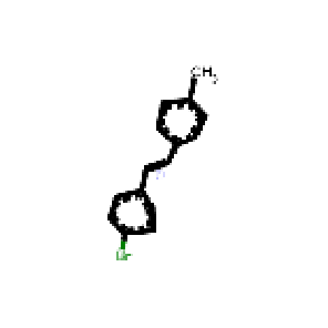 Cc1ccc(/C=C/c2ccc(Br)cc2)cc1